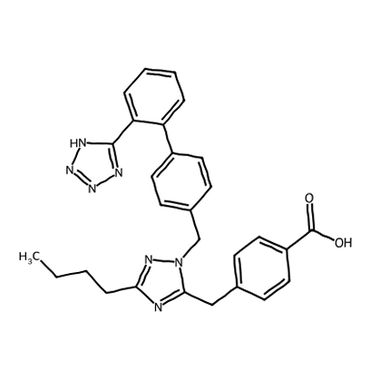 CCCCc1nc(Cc2ccc(C(=O)O)cc2)n(Cc2ccc(-c3ccccc3-c3nnn[nH]3)cc2)n1